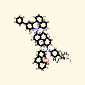 C[Si](C)(C)c1ccc(N(c2ccc3ccc4c(N(c5ccccc5)c5c(F)cc(-c6ccccc6)cc5-c5ccccc5)ccc5ccc2c3c54)c2ccc3ccc4cccc5oc2c3c45)cc1